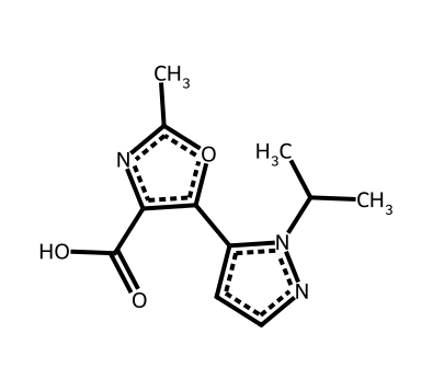 Cc1nc(C(=O)O)c(-c2ccnn2C(C)C)o1